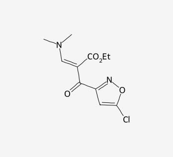 CCOC(=O)/C(=C\N(C)C)C(=O)c1cc(Cl)on1